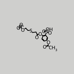 CC(=O)Oc1ccc(OC(=O)CCSCCO[N+](=O)[O-])c(S(=O)(=O)O)c1